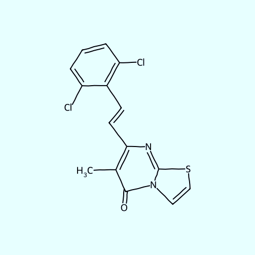 Cc1c(/C=C/c2c(Cl)cccc2Cl)nc2sccn2c1=O